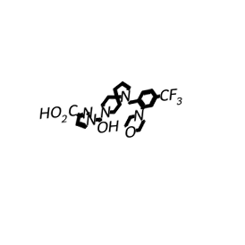 O=C(O)c1ccn(C(O)N2CCC3(CCCN3Cc3ccc(C(F)(F)F)cc3N3CCOCC3)CC2)n1